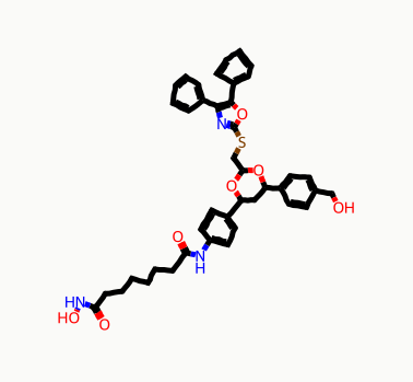 O=C(CCCCCCC(=O)Nc1ccc(C2CC(c3ccc(CO)cc3)OC(CSc3nc(-c4ccccc4)c(-c4ccccc4)o3)O2)cc1)NO